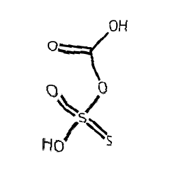 O=C(O)OS(=O)(O)=S